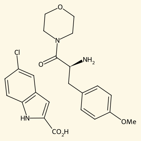 COc1ccc(C[C@H](N)C(=O)N2CCOCC2)cc1.O=C(O)c1cc2cc(Cl)ccc2[nH]1